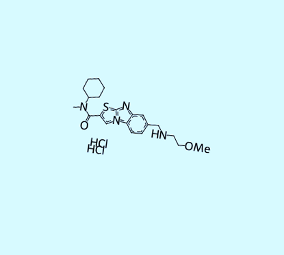 COCCNCc1ccc2c(c1)nc1sc(C(=O)N(C)C3CCCCC3)cn12.Cl.Cl